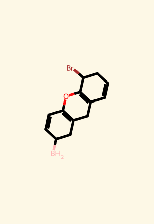 BC1C=CC2=C(CC3=C(O2)C(Br)CC=C3)C1